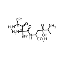 CCC[C@H](N)C(=O)[C@](N)(CCC)C(=O)NC(CP(=O)(O)C(C)N)C(=O)O